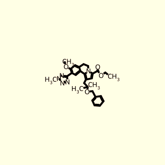 CCOC(=O)c1cc(CC(C)(C)OCc2ccccc2)c2n1CCc1cc(OC)c(-c3nnn(C)n3)cc1-2